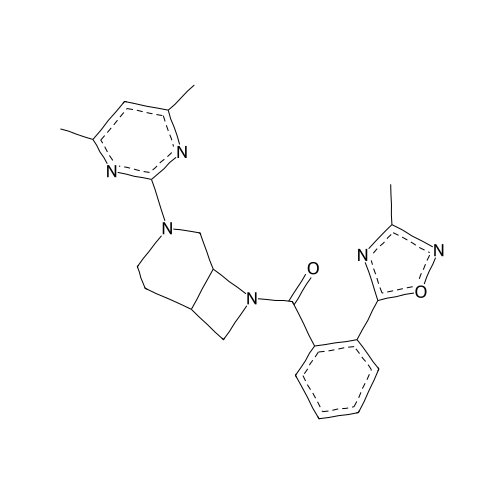 Cc1cc(C)nc(N2CCC3CN(C(=O)c4ccccc4-c4nc(C)no4)C3C2)n1